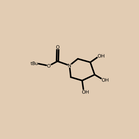 CC(C)(C)OC(=O)N1CC(O)C(O)C(O)C1